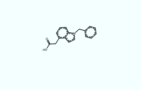 O=C(O)Cc1cccc2c1ccn2Cc1ccccc1